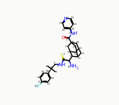 CC(C)(CNC(=S)C(N)C1C2CC3CC1CC(C(=O)Nc1ccncc1)(C3)C2)c1ccc(F)cc1